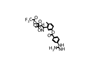 Cc1ccc(OC(=O)c2ccc(NC(=N)N)cc2)cc1C1=NOC(CC(=O)O)(C(=O)OC(=O)C(F)(F)F)C1